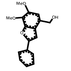 COc1cc(CO)c2cc(-c3ccccc3)oc2c1OC